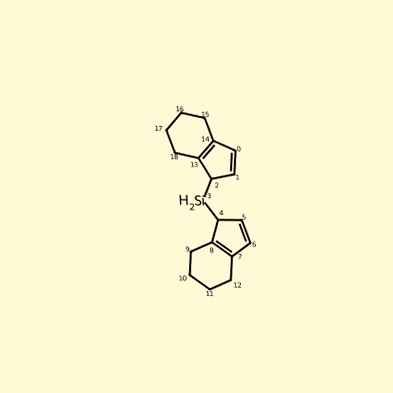 C1=CC([SiH2]C2C=CC3=C2CCCC3)C2=C1CCCC2